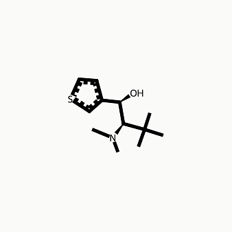 CN(C)[C@@H]([C@H](O)c1ccsc1)C(C)(C)C